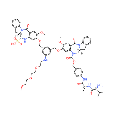 COCCOCCOCCNc1cc(COc2cc3c(cc2OC)C(=O)N2c4ccccc4C[C@H]2C(S(=O)(=O)O)N3)cc(COc2cc3c(cc2OC)C(=O)N2c4ccccc4C[C@H]2CN3C(=O)OCc2ccc(NC(=O)[C@H](C)NC(=O)[C@@H](N)C(C)C)cc2)c1